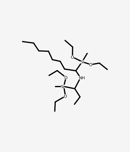 CCCCCCCC(NC(CC)[Si](C)(OCC)OCC)[Si](C)(OCC)OCC